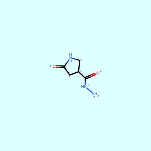 NNC(=O)C1CNC(=O)C1